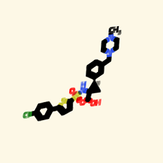 CN1CCN(Cc2cccc([C@@H]3CC3(NS(=O)(=O)c3ccc(-c4ccc(Cl)cc4)s3)C(=O)O)c2)CC1